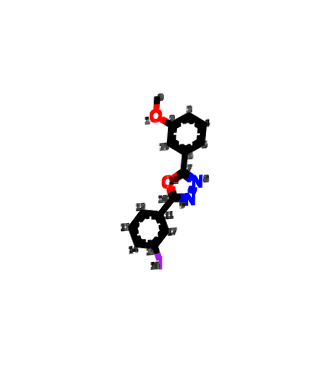 COc1cccc(-c2nnc(-c3cccc(I)c3)o2)c1